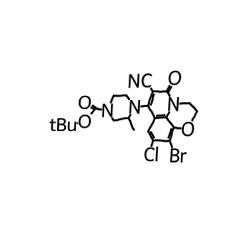 CC1CN(C(=O)OC(C)(C)C)CCN1c1c(C#N)c(=O)n2c3c(c(Br)c(Cl)cc13)OCC2